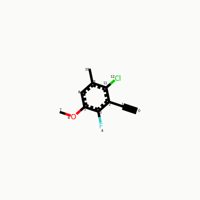 C#Cc1c(F)c(OC)cc(C)c1Cl